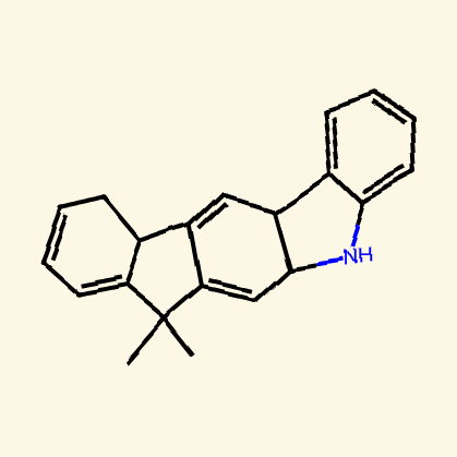 CC1(C)C2=CC3Nc4ccccc4C3C=C2C2CC=CC=C21